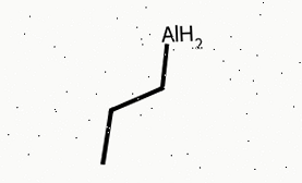 CC[CH2][AlH2]